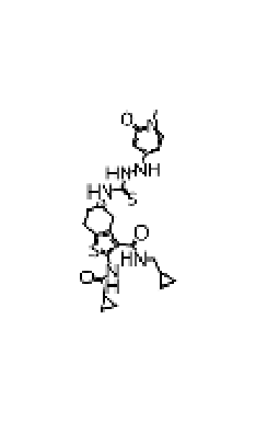 Cn1ccc(NNC(=S)N[C@H]2CCc3sc(NC(=O)C4CC4)c(C(=O)NCC4CC4)c3C2)cc1=O